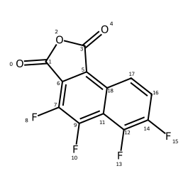 O=C1OC(=O)c2c1c(F)c(F)c1c(F)c(F)ccc21